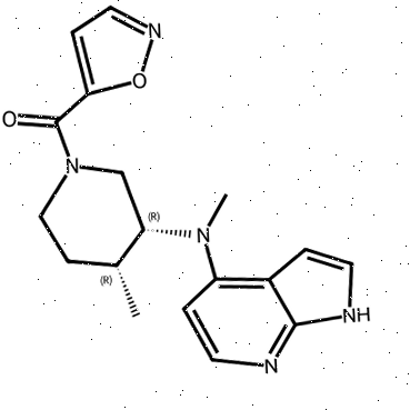 C[C@@H]1CCN(C(=O)c2ccno2)C[C@@H]1N(C)c1ccnc2[nH]ccc12